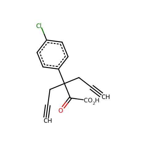 C#CCC(CC#C)(C(=O)C(=O)O)c1ccc(Cl)cc1